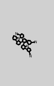 N#Cc1cccc(-n2c3ccc(C#N)cc3c3cccc(-c4ccccc4-c4cccc5c6ccccc6n(-c6ccccc6C#N)c45)c32)c1